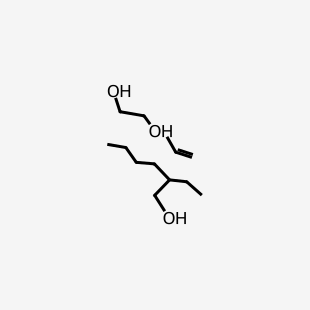 C=CC.CCCCC(CC)CO.OCCO